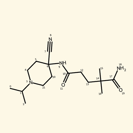 CC(C)N1CCC(C#N)(NC(=O)[CH]CC(C)(C)C(N)=O)CC1